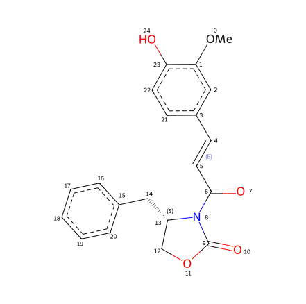 COc1cc(/C=C/C(=O)N2C(=O)OC[C@@H]2Cc2ccccc2)ccc1O